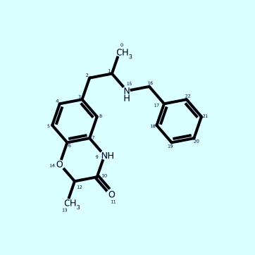 CC(Cc1ccc2c(c1)NC(=O)C(C)O2)NCc1ccccc1